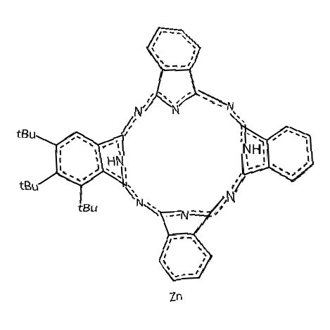 CC(C)(C)c1cc2c3nc4nc(nc5[nH]c(nc6nc(nc([nH]3)c2c(C(C)(C)C)c1C(C)(C)C)-c1ccccc1-6)c1ccccc51)-c1ccccc1-4.[Zn]